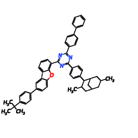 CC1CC2CC(C)C(c3ccc(-c4nc(-c5ccc(-c6ccccc6)cc5)nc(-c5cccc6c5oc5ccc(-c7ccc(C(C)(C)C)cc7)cc56)n4)cc3)C(C1)C2